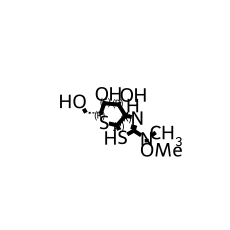 CON(C)C1=N[C@H]2[C@@H](S1)S[C@H](CO)[C@@H](O)[C@@H]2O